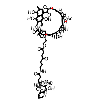 CC(=O)O[C@H]1[C@H](C)[C@H](O)[C@H](C)[C@@H](O)[C@@H](C)/C=C/C=C(/C)C(=O)Nc2c(/C=N/N3CCN(CCOC(=O)CCC(=O)CCCNC(=O)CCC(=O)OC(Cc4ccccn4)(P(=O)(O)O)P(=O)(O)O)CC3)c(O)c3c4c(c(C)c(O)c3c2O)O[C@](C)(O/C=C/[C@H](C)[C@H]1C)C4=O